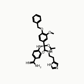 COc1cc([C@](Nc2ccc(C(=N)N)cc2)(OC(C)=O)C(=O)NCCc2cnc[nH]2)ccc1OCc1ccccc1